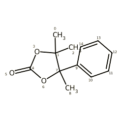 CC1(C)OC(=O)OC1(C)c1ccccc1